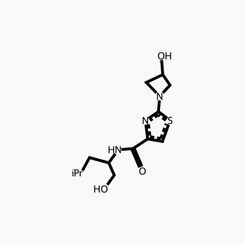 CC(C)CC(CO)NC(=O)c1csc(N2CC(O)C2)n1